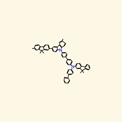 Cc1ccc2c(c1)C(C)(C)c1cc(-c3ccc4c(c3)c3cc(C)ccc3n4-c3ccc(-c4ccc(N(c5ccc(-c6ccccc6)cc5)c5ccc6c(c5)C(C)(C)c5ccccc5-6)cc4)cc3)ccc1-2